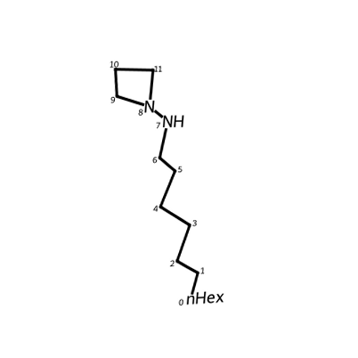 CCCCCCCCCCCCNN1CCC1